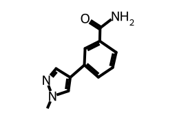 Cn1cc(-c2cccc(C(N)=O)c2)cn1